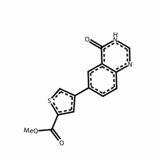 COC(=O)c1cc(-c2ccc3nc[nH]c(=O)c3c2)cs1